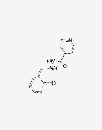 O=C1C=CC=CC1=CNNC(=O)c1ccncc1